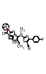 CCc1nc2sc(N3CC4CC(C3)N4CC(=O)N3CC(O)C3)nn2c1N(C)c1nc(-c2ccc(F)cc2)c(C#N)s1